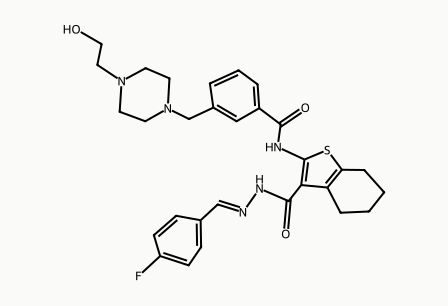 O=C(Nc1sc2c(c1C(=O)N/N=C/c1ccc(F)cc1)CCCC2)c1cccc(CN2CCN(CCO)CC2)c1